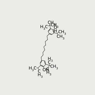 CC(C)c1cc(CCCCCCCCCc2cc(C(C)C)c(O)c(C(C)(C)C)c2)cc(C(C)(C)C)c1O